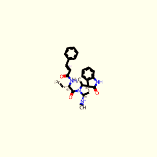 C#[N+][C@@H]1C[C@]2(C(=O)Nc3ccccc32)C(C)N1C(=O)[C@H](CC(C)C)NC(=O)/C=C/c1ccccc1